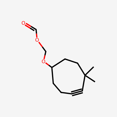 CC1(C)C#CCCC(OCOC=O)CC1